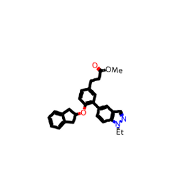 CCn1ncc2cc(-c3cc(CCC(=O)OC)ccc3OC3Cc4ccccc4C3)ccc21